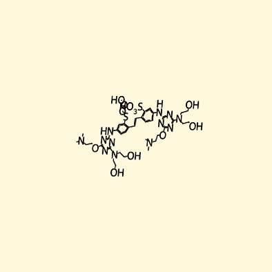 CN(C)CCOc1nc(Nc2ccc(/C=C/c3ccc(Nc4nc(OCCN(C)C)nc(N(CCO)CCO)n4)cc3S(=O)(=O)O)c(SOOO)c2)nc(N(CCO)CCO)n1